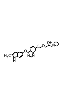 Cc1cc2cc(Oc3ncnc4cc(OCOC[C@@H](O)CN5CCCC5)ccc34)ccc2[nH]1